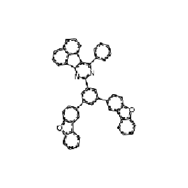 c1ccc(-c2nc(-c3cc(-c4ccc5oc6ccccc6c5c4)cc(-c4ccc5oc6ccccc6c5c4)c3)nc3c2-c2cccc4cccc-3c24)cc1